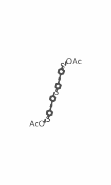 CC(=O)OCCSc1ccc(C#Cc2ccc(CSc3ccc(C#Cc4ccc(SCCOC(C)=O)cc4)cc3)cc2)cc1